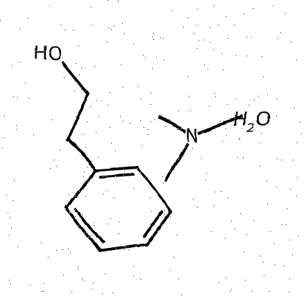 CN(C)C.O.OCCc1ccccc1